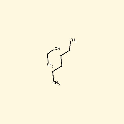 CCCCCC.OCC(F)(F)F